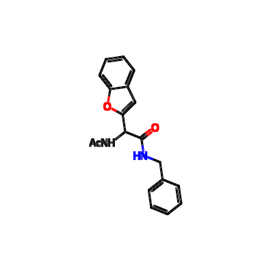 CC(=O)NC(C(=O)NCc1ccccc1)c1cc2ccccc2o1